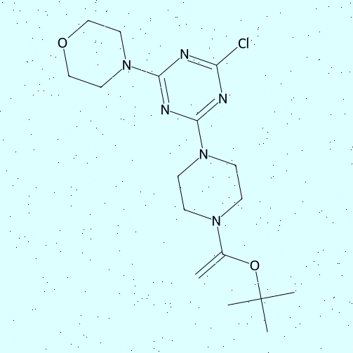 C=C(OC(C)(C)C)N1CCN(c2nc(Cl)nc(N3CCOCC3)n2)CC1